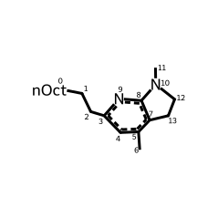 CCCCCCCCCCc1cc(C)c2c(n1)N(C)CC2